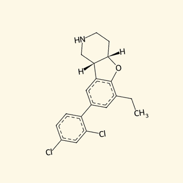 CCc1cc(-c2ccc(Cl)cc2Cl)cc2c1O[C@H]1CCNC[C@@H]21